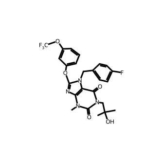 Cn1c(=O)n(CC(C)(C)O)c(=O)c2c1nc(Oc1cccc(OC(F)(F)F)c1)n2Cc1ccc(F)cc1